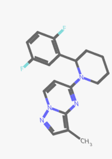 Cc1cnn2ccc(N3CCCCC3c3cc(F)ccc3F)nc12